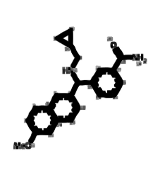 COc1ccc2cc(C(NCC3CC3)c3cccc(C(N)=O)c3)ccc2c1